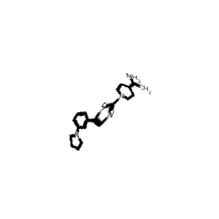 C=C(N)C1CCN(c2ncc(-c3cccc(N4CCCC4)c3)s2)CC1